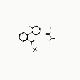 COC(=O)C(C)N.Cc1ccccc1-c1ccccc1C(=O)OC(C)(C)C